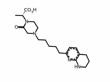 C[C@H](C(=O)O)N1CCN(CCCCCc2ccc3c(n2)NCCC3)CC1=O